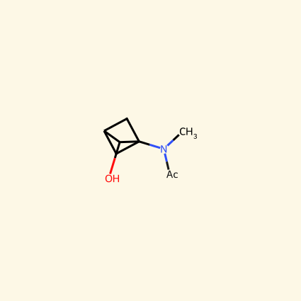 CC(=O)N(C)C12CC(C1)C2O